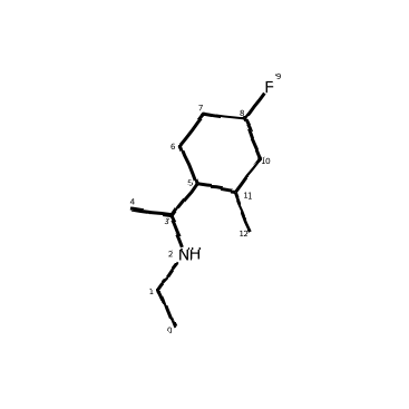 CCNC(C)C1CCC(F)CC1C